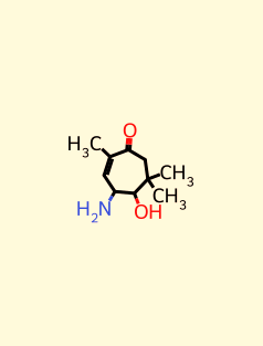 CC1=CC(N)C(O)C(C)(C)CC1=O